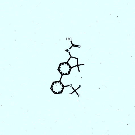 CC1(C)CC(NC(=O)O)c2ccc(-c3ccccc3OC(F)(F)F)cc21